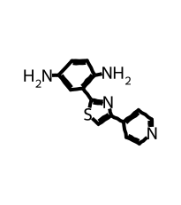 Nc1ccc(N)c(-c2nc(-c3ccncc3)cs2)c1